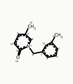 Cc1cccc(Cn2cc(C)ccc2=O)c1